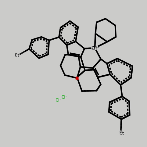 CCc1ccc(-c2cccc3c2C=C(C2CCCCC2)[CH]3[Zr+2]2([CH]3C(C4CCCCC4)=Cc4c(-c5ccc(CC)cc5)cccc43)[CH]3CCCC[CH]32)cc1.[Cl-].[Cl-]